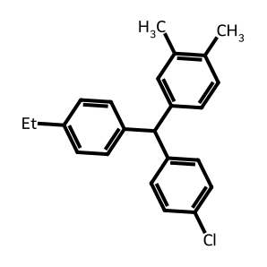 CCc1ccc(C(c2ccc(Cl)cc2)c2ccc(C)c(C)c2)cc1